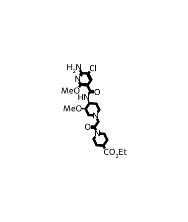 CCOC(=O)C1CCN(C(=O)CN2CC[C@H](NC(=O)c3cc(Cl)c(N)nc3OC)[C@H](OC)C2)CC1